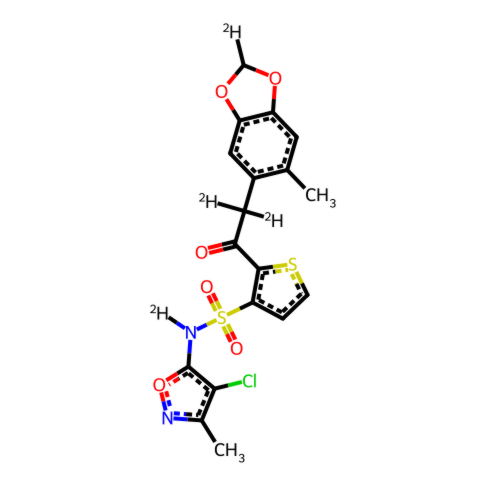 [2H]C1Oc2cc(C)c(C([2H])([2H])C(=O)c3sccc3S(=O)(=O)N([2H])c3onc(C)c3Cl)cc2O1